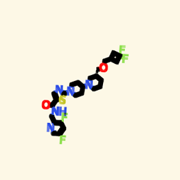 O=C(NCc1ncc(F)cc1F)c1cnc(N2CCC(N3CCC[C@@H](COCC4CC(F)(F)C4)C3)CC2)s1